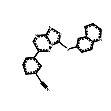 N#Cc1cccc(-c2cnc3nnc(Sc4ccc5ncccc5c4)n3n2)c1